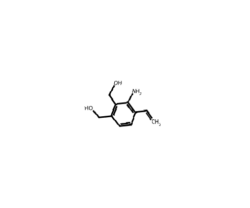 C=Cc1ccc(CO)c(CO)c1N